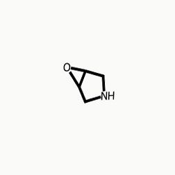 C1NCC2OC12